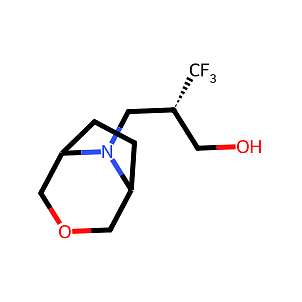 OC[C@H](CN1C2CCC1COC2)C(F)(F)F